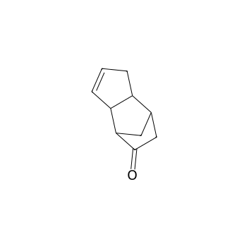 O=C1CC2CC1C1C=CCC21